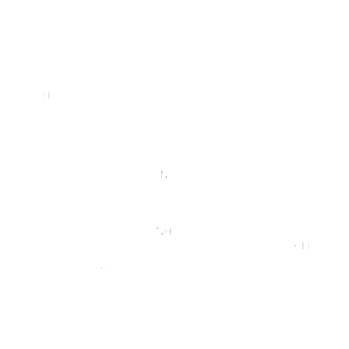 CCCCCC1(C2CCCCC2)CN(C(c2ccc(OC)cc2)C(N)C=O)C1